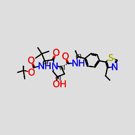 CCc1ncsc1-c1ccc([C@H](C)NC(=O)[C@@H]2C[C@@H](O)CN2C(=O)[C@@H](NC(=O)OC(C)(C)C)C(C)(C)C)cc1